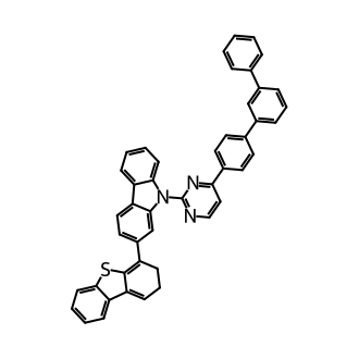 C1=c2c(sc3ccccc23)=C(c2ccc3c4ccccc4n(-c4nccc(-c5ccc(-c6cccc(-c7ccccc7)c6)cc5)n4)c3c2)CC1